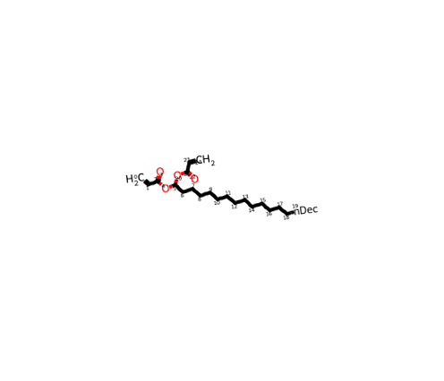 C=CC(=O)OC(CCCCCCCCCCCCCCCCCCCCCCC)OC(=O)C=C